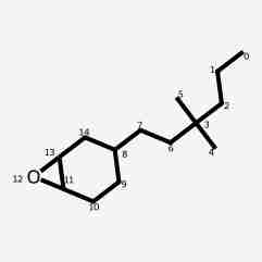 CCCC(C)(C)CCC1CCC2OC2C1